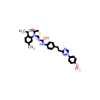 COC(C)c1ccc(C)cc1N1C(=O)CS/C1=N\C(O)Nc1ccc(CCc2ncn(-c3ccc(OC(F)(F)F)cc3)n2)cc1